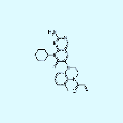 C=CC(=O)N1CCN(c2cc3cnc(N)nc3n(C3CCCCC3)c2=O)c2cccc(C)c21